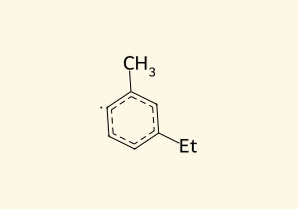 CCc1cc[c]c(C)c1